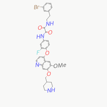 COc1cc2c(Oc3ccc(NC(=O)C(=O)NCCc4cccc(Br)c4)cc3F)ccnc2cc1OCC1CCNCC1